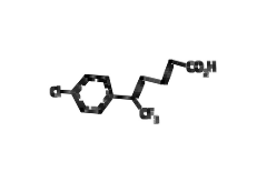 O=C(O)C=CC=C(c1ccc(Cl)cc1)C(F)(F)F